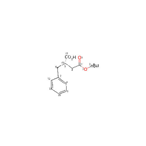 CCCCOC(=O)C[C@H](Cc1ccccc1)C(=O)O